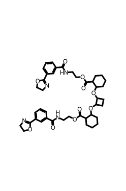 O=C(NCCOC(=O)C1CCCCC1OC1CCC1OC1CCCCC1C(=O)OCCNC(=O)c1cccc(C2=NCCO2)c1)c1cccc(C2=NCCO2)c1